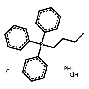 CCCC[P+](c1ccccc1)(c1ccccc1)c1ccccc1.Cl.P.[Cl-]